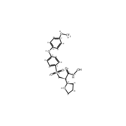 O=C(NO)[C@H](CS(=O)(=O)c1ccc(Oc2ccc(OC(F)(F)F)cc2)cc1)[C@H]1CCCO1